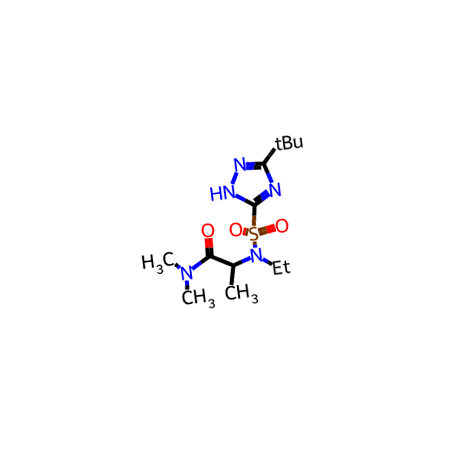 CCN(C(C)C(=O)N(C)C)S(=O)(=O)c1nc(C(C)(C)C)n[nH]1